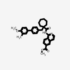 COC(=O)c1ccc2c(NC(=O)C3(Cc4ccc(-c5ccc(OC)c(C)c5)cc4)CCCCCC3)nccc2c1